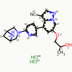 C[C@H](O)COc1cc(-c2ccc(N3CC4CC(C3)N4)nc2)c2c(C#N)cnn2c1.Cl.Cl